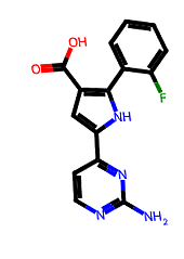 Nc1nccc(-c2cc(C(=O)O)c(-c3ccccc3F)[nH]2)n1